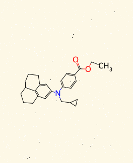 CCOC(=O)c1ccc(N(CC2CC2)c2cc3c4c(c2)CCCC4CCC3)cc1